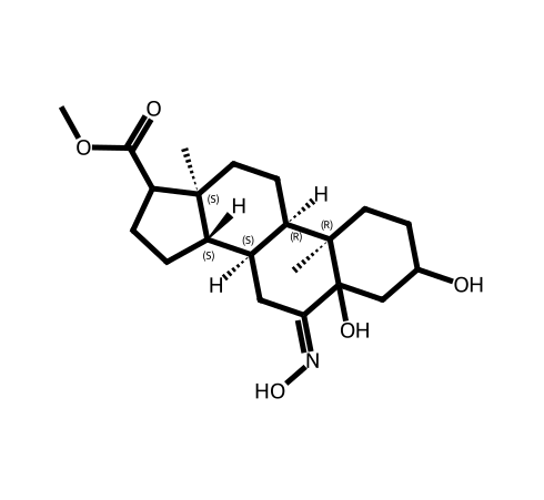 COC(=O)C1CC[C@H]2[C@@H]3CC(=NO)C4(O)CC(O)CC[C@]4(C)[C@@H]3CC[C@]12C